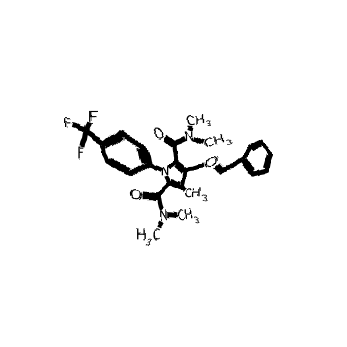 Cc1c(OCc2ccccc2)c(C(=O)N(C)C)n(-c2ccc(C(F)(F)F)cc2)c1C(=O)N(C)C